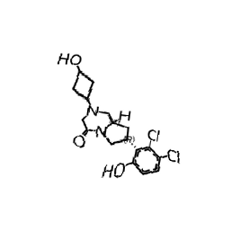 O=C1CN(C2CC(O)C2)C[C@@H]2C[C@H](c3c(O)ccc(Cl)c3Cl)CN12